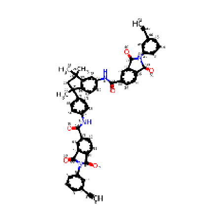 C#Cc1cccc(N2C(=O)c3ccc(C(=O)Nc4ccc(C5(C)CC(C)(C)c6cc(NC(=O)c7ccc8c(c7)C(=O)N(c7cccc(C#C)c7)C8=O)ccc65)cc4)cc3C2=O)c1